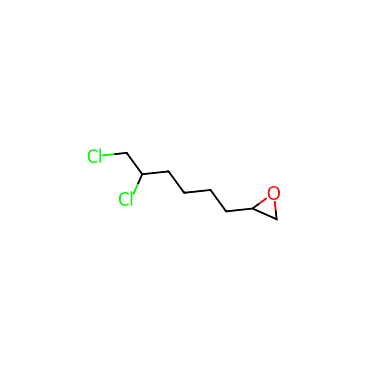 ClCC(Cl)CCCCC1CO1